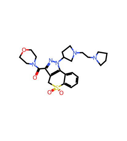 O=C(c1nn(C2CCN(CCN3CCCC3)C2)c2c1CS(=O)(=O)c1ccccc1-2)N1CCOCC1